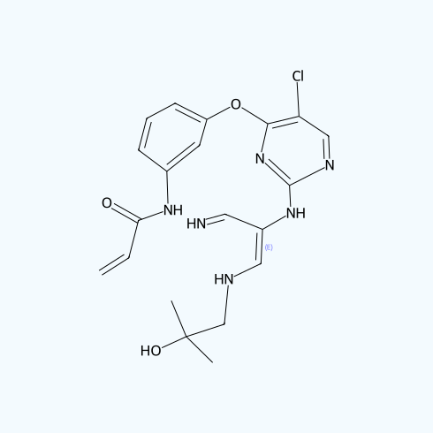 C=CC(=O)Nc1cccc(Oc2nc(N/C(C=N)=C/NCC(C)(C)O)ncc2Cl)c1